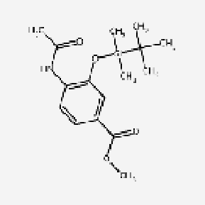 COC(=O)c1ccc(NC(C)=O)c(O[Si](C)(C)C(C)(C)C)c1